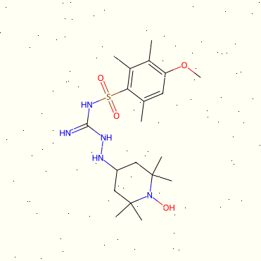 COc1cc(C)c(S(=O)(=O)NC(=N)NNC2CC(C)(C)N(O)C(C)(C)C2)c(C)c1C